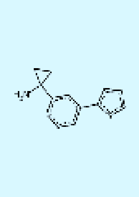 NC1(c2cccc(-c3cccs3)c2)CC1